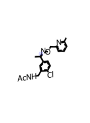 CC(=O)NCc1cc(/C(C)=N\OCc2cccc(C)n2)ccc1Cl